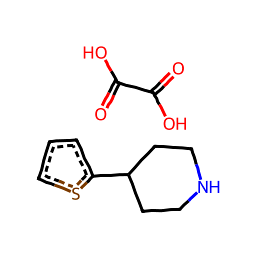 O=C(O)C(=O)O.c1csc(C2CCNCC2)c1